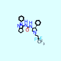 O=C(Nc1c2c(nn1-c1ccccc1)CCC2)N[C@H]1CN(CCC(F)(F)C(F)(F)F)C[C@@H]1c1ccccc1